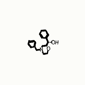 O[C@@H](c1ccccc1)C1CN(Cc2ccccc2)CCO1